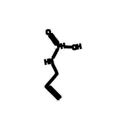 C=CCN[PH](=O)O